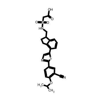 CC(C)Oc1ccc(-c2ncc(-c3cccc4c3CCC4CNS(=O)(=O)CC(=O)O)s2)cc1C#N